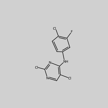 Fc1cc(Nc2nc(Cl)ncc2Cl)ccc1Cl